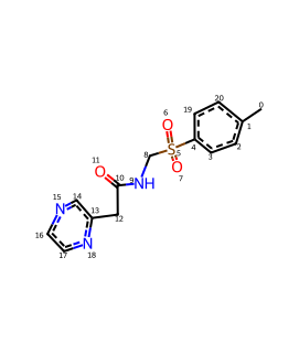 Cc1ccc(S(=O)(=O)CNC(=O)Cc2cnccn2)cc1